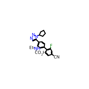 CCNC(=O)O.N#Cc1ccc(-c2ccc(-c3cnnn3C3CCCC3)cc2)c(F)c1